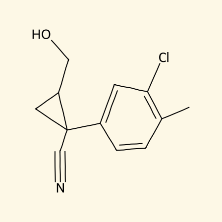 Cc1ccc(C2(C#N)CC2CO)cc1Cl